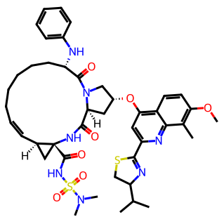 COc1ccc2c(O[C@@H]3C[C@H]4C(=O)N[C@]5(C(=O)NS(=O)(=O)N(C)C)C[C@H]5/C=C\CCCCC[C@H](Nc5ccccc5)C(=O)N4C3)cc(C3=NC(C(C)C)CS3)nc2c1C